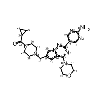 Nc1ncc(-c2nc(N3CCOCC3)c3cc(CN4CCN(C(=O)C5CC5)CC4)cn3n2)cn1